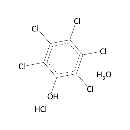 Cl.O.Oc1c(Cl)c(Cl)c(Cl)c(Cl)c1Cl